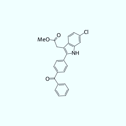 COC(=O)Cc1c(-c2ccc(C(=O)c3ccccc3)cc2)[nH]c2cc(Cl)ccc12